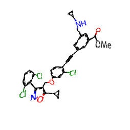 COC(=O)c1cc(C#Cc2ccc(OCc3c(-c4c(Cl)cccc4Cl)noc3C3CC3)cc2Cl)cc(CNC2CC2)c1